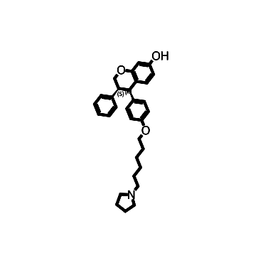 Oc1ccc2c(c1)OC[C@H](c1ccccc1)[C@@H]2c1ccc(OCCCCCCN2CCCC2)cc1